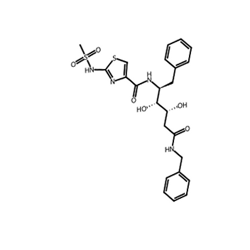 CS(=O)(=O)Nc1nc(C(=O)N[C@@H](Cc2ccccc2)[C@@H](O)[C@H](O)CC(=O)NCc2ccccc2)cs1